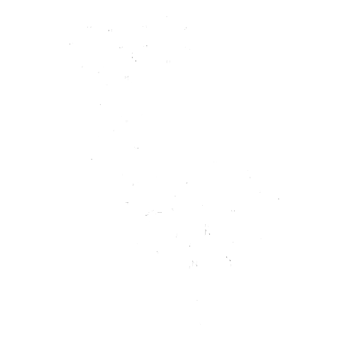 c1ccc(-c2nc(-c3ccccc3)nc(-c3cccc4oc5ccc(-c6cccc(-c7cccc(-c8ccc9c(c8)c8ccccc8n9-c8ccccc8)c7)c6)cc5c34)n2)cc1